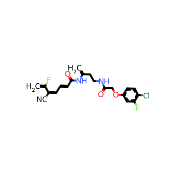 C=C(CCNC(=O)COc1ccc(Cl)c(F)c1)NC(=O)/C=C/C=C(/C#N)C(=C)F